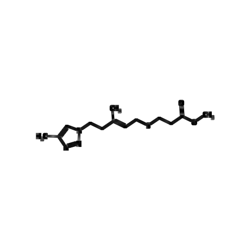 COC(=O)CCSC/C=C(\C)CCn1cc(C)nn1